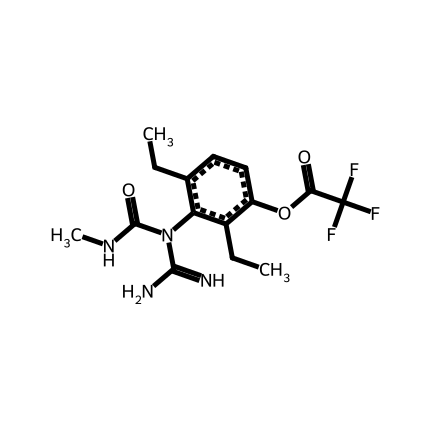 CCc1ccc(OC(=O)C(F)(F)F)c(CC)c1N(C(=N)N)C(=O)NC